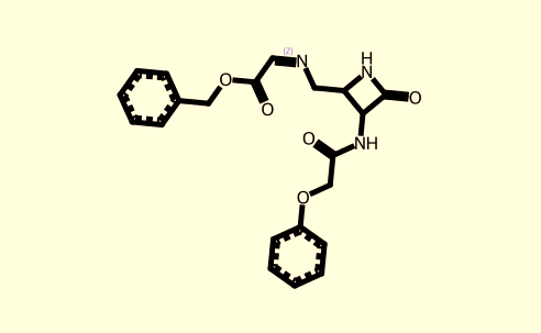 O=C(COc1ccccc1)NC1C(=O)NC1C/N=C\C(=O)OCc1ccccc1